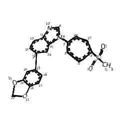 CS(=O)(=O)c1ccc(-n2cnc3ccc(-c4ccc5c(c4)OCO5)cc32)cc1